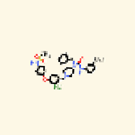 CSc1cccc(NC(=O)N(Cc2ccccc2)C2CCN(Cc3ccc(Oc4ccc(NS(C)(=O)=O)cc4)cc3)CC2)c1.Cl